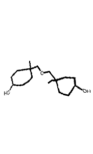 CC1(COCC2(C)CCC(O)CC2)CCC(O)CC1